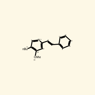 CCCCc1cnc(C=Cc2ccccc2)cc1OC